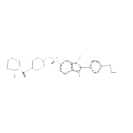 C[C@H]1CCCCN1C(=O)C1CCC(NS(=O)(=O)c2ccc3c(C#N)c(-c4ccc(CCC(=O)O)cc4)n(C)c3c2)CC1